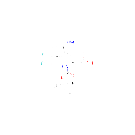 CC(C)(C)OC(=O)NC(CC(=O)O)Cc1cc(C(F)(F)F)ccc1N